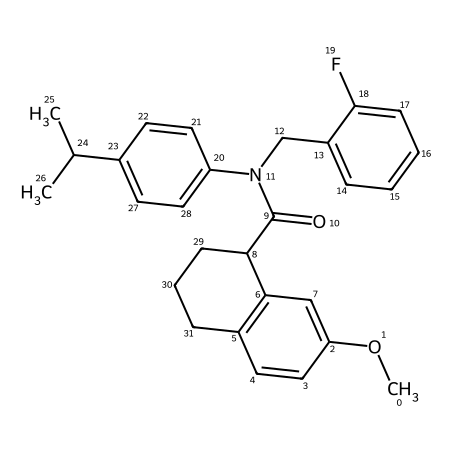 COc1ccc2c(c1)C(C(=O)N(Cc1ccccc1F)c1ccc(C(C)C)cc1)CCC2